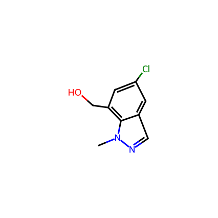 Cn1ncc2cc(Cl)cc(CO)c21